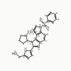 O=C(O)N1CCCC1n1c(-c2ccc(CO)o2)nc2cnc3c(ccn3S(=O)(=O)c3ccccc3)c21